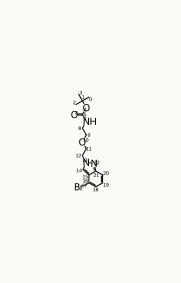 CC(C)(C)OC(=O)NCCOCCn1cc2c(Br)cccc2n1